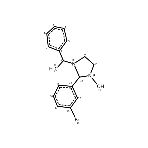 CC(c1ccccc1)N1CCN(O)C1c1cccc(Br)c1